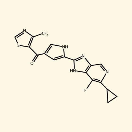 O=C(c1c[nH]c(-c2nc3cnc(C4CC4)c(F)c3[nH]2)c1)c1scnc1C(F)(F)F